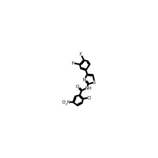 O=C(Nc1nc(-c2ccc(F)c(F)c2)cs1)c1cc([N+](=O)[O-])ccc1Cl